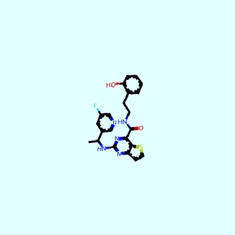 CC(Nc1nc(C(=O)NCCc2ccccc2O)c2sccc2n1)c1cncc(F)c1